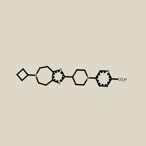 O=C(O)c1ccc(N2CCC(c3nc4c(s3)CCN(C3CCC3)CC4)CC2)cn1